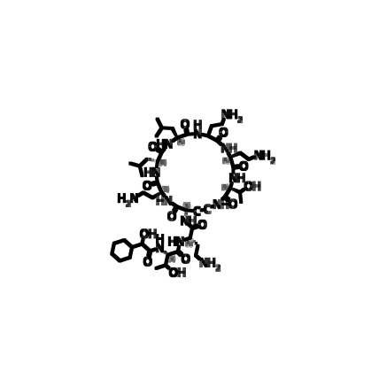 CC(C)C[C@@H]1NC(=O)[C@@H](CC(C)C)NC(=O)[C@H](CCN)NC(=O)[C@@H](NC(=O)[C@H](CCN)NC(=O)[C@@H](NC(=O)C(O)C2CCCCC2)C(C)O)CCNC(=O)[C@H](C(C)O)NC(=O)[C@H](CCN)NC(=O)C(CCN)NC1=O